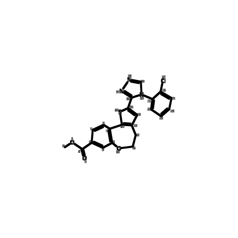 COC(=O)c1ccc2c(c1)OCCc1cc(-c3nncn3-c3ccccc3Cl)sc1-2